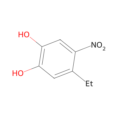 CCc1cc(O)c(O)cc1[N+](=O)[O-]